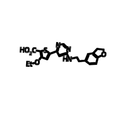 CCOc1cc(-c2cc(NCCc3ccc4c(c3)CCO4)ncn2)sc1C(=O)O